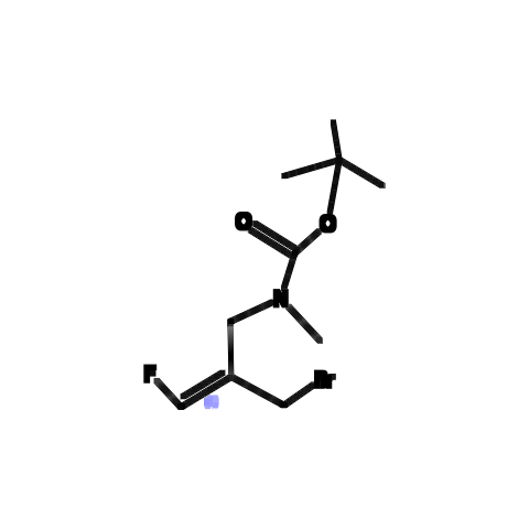 CN(C/C(=C\F)CBr)C(=O)OC(C)(C)C